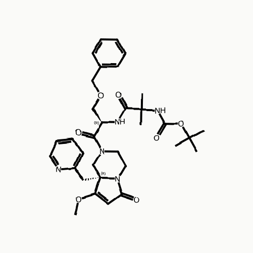 COC1=CC(=O)N2CCN(C(=O)[C@@H](COCc3ccccc3)NC(=O)C(C)(C)NC(=O)OC(C)(C)C)C[C@]12Cc1ccccn1